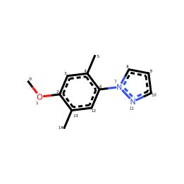 COc1cc(C)c(-n2cccn2)cc1C